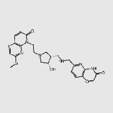 COc1cnc2ccc(=O)n(CCN3C[C@H](CNCc4ccc5c(n4)NC(=O)CO5)[C@H](O)C3)c2n1